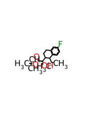 CC(C)C1c2ccc(F)cc2CCC1C(O)C(=O)OC(C)(C)C